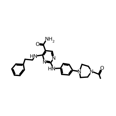 CC(=O)N1CCN(c2ccc(Nc3ncc(C(N)=O)c(NCCc4ccccc4)n3)cc2)CC1